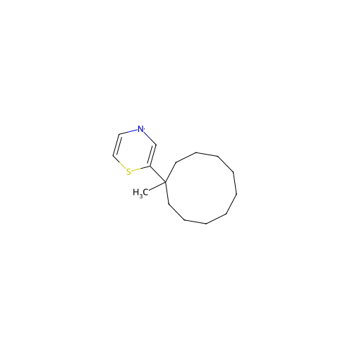 CC1(C2=C[N]C=CS2)CCCCCCCCC1